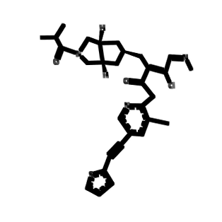 C/N=C\C(Cl)=C(/C[C@H]1C[C@@H]2CN(C(=O)C(C)C)C[C@@H]2C1)C(=O)Cc1ncc(C#Cc2cccs2)cc1C